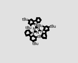 CC(C)(C)c1cc(C(C)(C)C)c2c(c1)c1ccccc1n2-c1nc(-n2c3ccccc3c3cc(C(C)(C)C)cc(C(C)(C)C)c32)nc(-n2c3ccccc3c3cc(C(C)(C)C)cc(C(C)(C)C)c32)n1